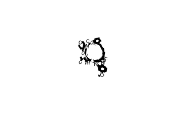 COc1ccc2nc3c(nc2c1)O[C@H]1CN(C(=O)[C@H](C2(C)CCOCC2)NC(=O)O[C@]2(C)CCCC2CCCCC3(F)F)[C@H](C(C)=O)[C@@H]1C